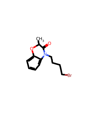 CC1Oc2ccccc2N(CCCCBr)C1=O